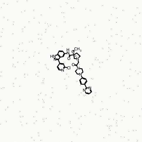 CO[C@@]1(C(=O)Nc2ccc3[nH]nc(-c4ccnc(Cl)c4)c3c2)CCN(CC(=O)N2CCN(c3ccc(-c4ncccn4)cc3)CC2)C1